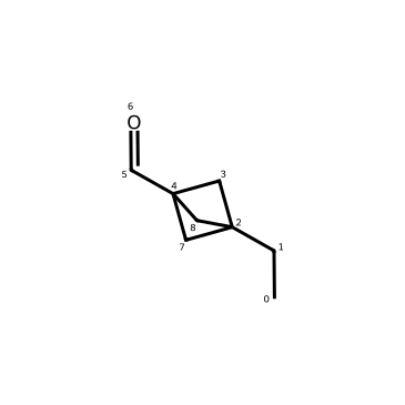 CCC12CC(C=O)(C1)C2